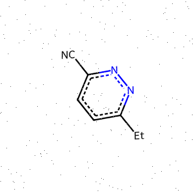 CCc1ccc(C#N)nn1